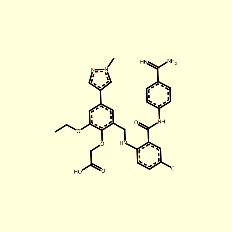 CCOc1cc(-c2cnn(C)c2)cc(CNc2ccc(Cl)cc2C(=O)Nc2ccc(C(=N)N)cc2)c1OCC(=O)O